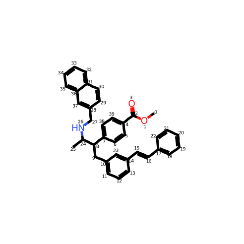 COC(=O)c1ccc(C(Cc2cccc(/C=C/c3ccccc3)c2)C(C)NCc2ccc3ccccc3c2)cc1